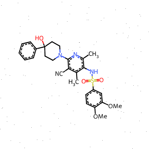 COc1ccc(S(=O)(=O)Nc2c(C)nc(N3CCC(O)(c4ccccc4)CC3)c(C#N)c2C)cc1OC